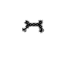 C=C(C)C(=O)CCc1ccc(N(c2ccc(-c3ccc(-c4ccc(N(c5ccc(COC(=O)C(=C)C)cc5)c5ccc(C)c(C)c5)cc4)cc3)cc2)c2ccc(C)c(C)c2)cc1